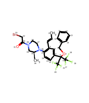 CC=Cc1cc(C(OCc2ccccc2)(C(F)(F)F)C(F)(F)F)ccc1N1CCN(C(=O)CBr)C[C@@H]1C